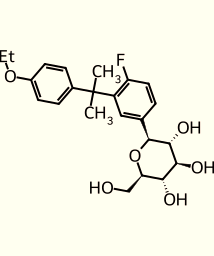 CCOc1ccc(C(C)(C)c2cc([C@@H]3O[C@H](CO)[C@@H](O)[C@H](O)[C@H]3O)ccc2F)cc1